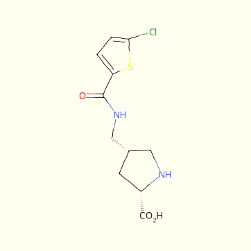 O=C(NC[C@@H]1CN[C@H](C(=O)O)C1)c1ccc(Cl)s1